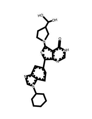 O=c1[nH]cnc2c(-c3ccc4c(c3)ncn4C3CCCCC3)sc(N3CCC(C(O)O)C3)c12